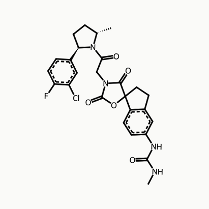 CNC(=O)Nc1ccc2c(c1)CCC21OC(=O)N(CC(=O)N2[C@@H](c3ccc(F)c(Cl)c3)CC[C@@H]2C)C1=O